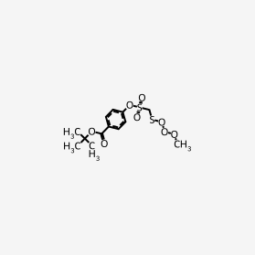 COOOSCS(=O)(=O)Oc1ccc(C(=O)OC(C)(C)C)cc1